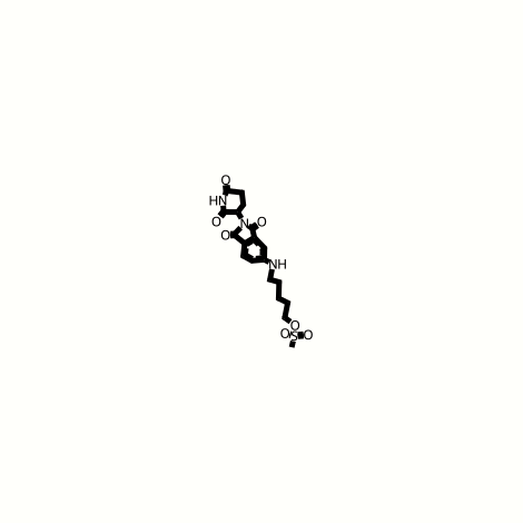 CS(=O)(=O)OCCCCCNc1ccc2c(c1)C(=O)N(C1CCC(=O)NC1=O)C2=O